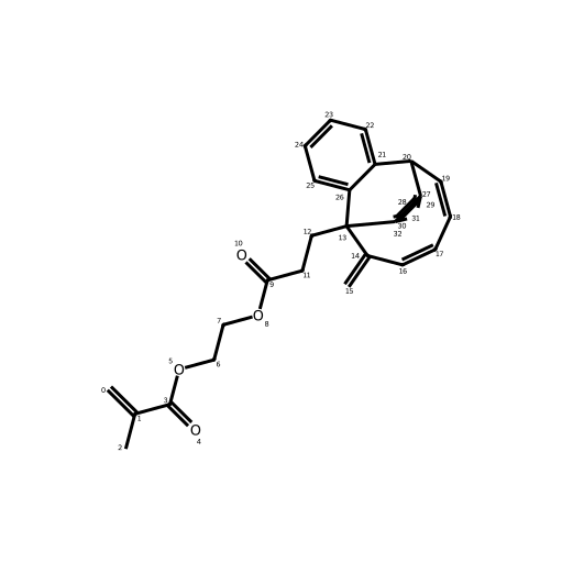 C=C(C)C(=O)OCCOC(=O)CCC12C(=C)/C=C\C=C/C(c3ccccc31)c1ccccc12